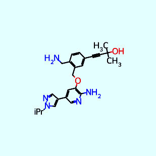 CC(C)n1cc(-c2cnc(N)c(OCc3cc(C#CC(C)(C)O)ccc3CN)c2)cn1